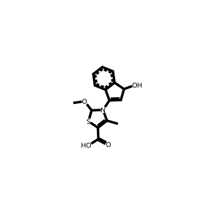 COC1SC(C(=O)O)=C(C)N1C1=CC(O)c2ccccc21